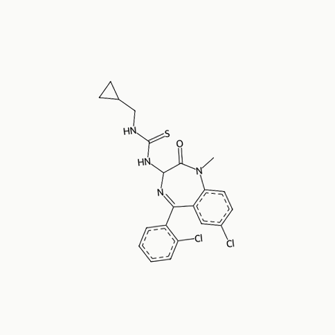 CN1C(=O)C(NC(=S)NCC2CC2)N=C(c2ccccc2Cl)c2cc(Cl)ccc21